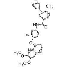 COc1cc2nccc(Oc3ccc(NC(=O)c4cnc(C)c(-c5ccoc5)n4)cc3F)c2nc1OC